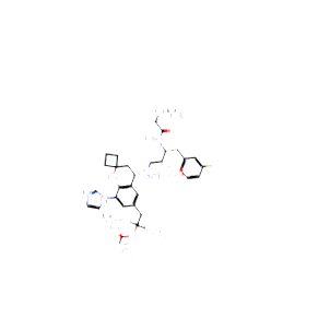 COCC(=O)N[C@@H](Cc1cccc(F)c1)[C@H](O)CN[C@H]1CC2(CCC2)Oc2c1cc(CC(C)(OC)OC(=O)C(F)(F)F)cc2-n1ccnc1